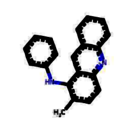 Cc1ccc2nc3ccccc3cc2c1Nc1ccccc1